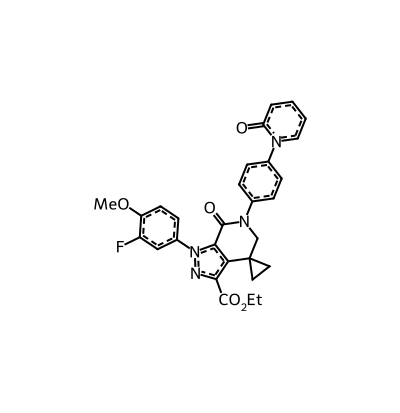 CCOC(=O)c1nn(-c2ccc(OC)c(F)c2)c2c1C1(CC1)CN(c1ccc(-n3ccccc3=O)cc1)C2=O